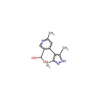 Cc1cc(-c2c(C)n[nH]c2C)c(C(O)O)cn1